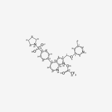 Cc1cncc(OCc2cc3c(-c4ccc(S(=O)(=O)N5CCCC5)cc4)ccnc3n2OC(=O)C(F)(F)F)c1